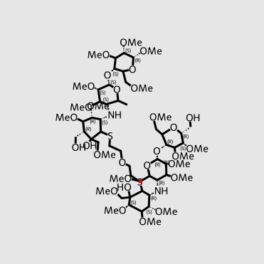 COCC1O[C@H](O[C@@H]2C(COC)O[C@H](CO)[C@H](OC)C2OC)[C@H](OC)C(OC)[C@@H]1N[C@H]1C(SCCOCCSC2[C@@H](N[C@H]3C(C)O[C@@H](O[C@H]4C(COC)O[C@@H](OC)[C@@H](OC)C4OC)[C@@H](OC)C3OC)[C@@H](OC)C(OC)[C@@H](CO)C2(O)COC)C(O)(COC)[C@@H](OC)C(OC)[C@H]1OC